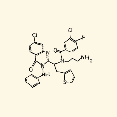 NCCCN(C(=O)c1ccc(F)c(Cl)c1)C(Cc1cccs1)c1nc2cc(Cl)ccc2c(=O)n1Nc1ccccc1